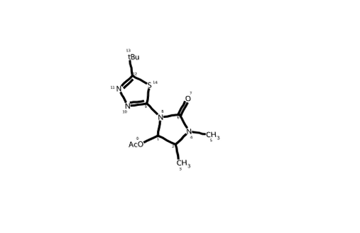 CC(=O)OC1C(C)N(C)C(=O)N1c1nnc(C(C)(C)C)s1